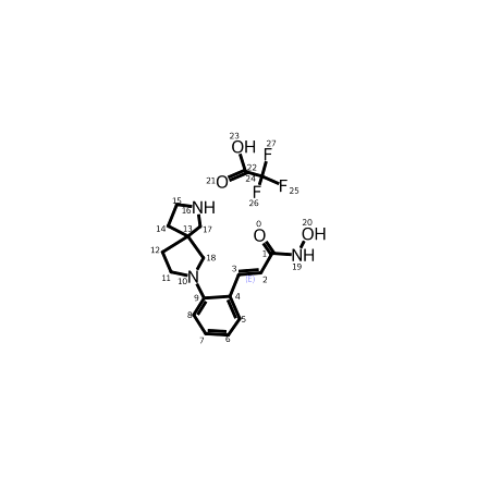 O=C(/C=C/c1ccccc1N1CCC2(CCNC2)C1)NO.O=C(O)C(F)(F)F